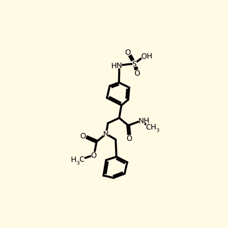 CNC(=O)C(CN(Cc1ccccc1)C(=O)OC)c1ccc(NS(=O)(=O)O)cc1